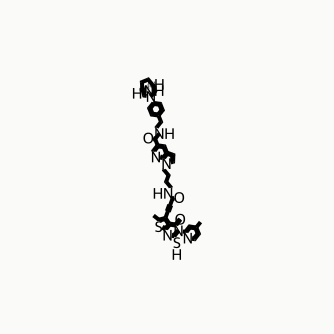 Cc1ccnc(-n2c(S)nc3sc(C)c(C#CC(=O)NCCCCn4ccc5cc(C(=O)NCCc6ccc(N7C[C@H]8CC[C@@H](C7)N8)cc6)cnc54)c3c2=O)c1